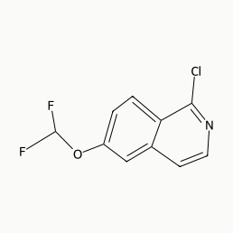 FC(F)Oc1ccc2c(Cl)nccc2c1